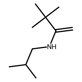 C=C(NCC(C)C)C(C)(C)C